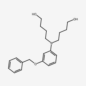 OCCCCN(CCCCO)c1cccc(OCc2ccccc2)c1